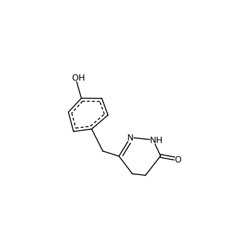 O=C1CCC(Cc2ccc(O)cc2)=NN1